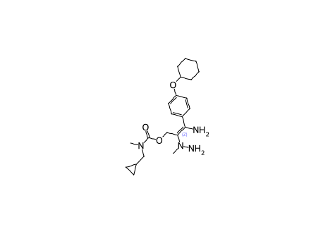 CN(CC1CC1)C(=O)OC/C(=C(/N)c1ccc(OC2CCCCC2)cc1)N(C)N